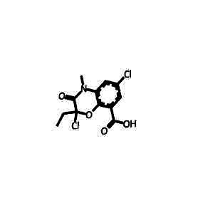 CCC1(Cl)Oc2c(C(=O)O)cc(Cl)cc2N(C)C1=O